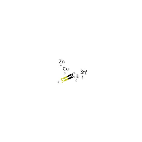 [Cu].[S]=[Cu].[Sn].[Zn]